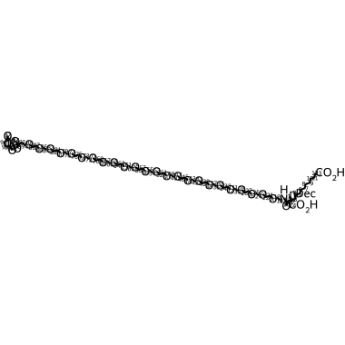 CCCCCCCCCCC[C@@](CCCCCCCCCCC(=O)O)(C(=O)O)C(=O)NCCOCCOCCOCCOCCOCCOCCOCCOCCOCCOCCOCCOCCOCCOCCOCCOCCOCCOCCOCCOCCOCCOCCOCCOCCC(=O)ON1C(=O)CCC1=O